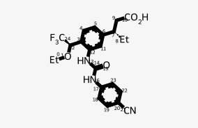 CCO[C@H](c1ccc([C@@H](CC)CC(=O)O)cc1NC(=O)Nc1ccc(C#N)cc1)C(F)(F)F